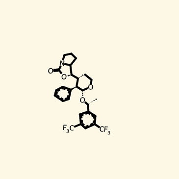 C[C@@H](O[C@H]1OCC[C@@H]([C@@H]2OC(=O)N3CCCC23)[C@@H]1c1ccccc1)c1cc(C(F)(F)F)cc(C(F)(F)F)c1